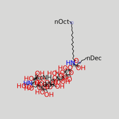 CCCCCCCC/C=C\CCCCCCCCCCCCCCCC(=O)N[C@@H](CO[C@@H]1OC(CO)[C@@H](O[C@@H]2OC(CO)[C@H](O[C@@H]3OC(CO)[C@H](O)[C@H](O[C@@H]4OC(CO)[C@H](O)[C@H](O[C@]5(C(=O)O)CC(O)[C@@H](NC(=O)CO)C([C@H](O)[C@H](O)CO)O5)C4O)C3NC(C)=O)[C@H](O)C2O)[C@H](O)C1O)[C@H](O)/C=C/CCCCCCCCCCCCC